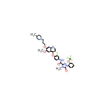 COc1cc2c(Oc3ccc(NC(=O)c4nn(-c5ccccc5OC(F)(F)F)c(=O)n4C)cc3F)ccnc2cc1OCCCN1CCC(C)CC1